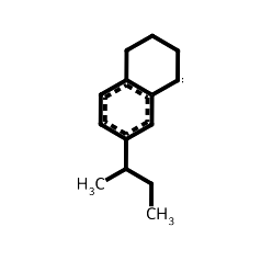 CCC(C)c1ccc2c(c1)[C]CCC2